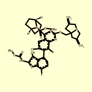 C=C1CN2CC(=C)CC2(COc2nc(N3C[C@H]4CC[C@@H](C3)N4C(=O)OC(C)(C)C)c3cc(Cl)c(-c4ccc(F)c5sc(NC(=O)OC(C)(C)C)c(C#N)c45)c(F)c3n2)C1